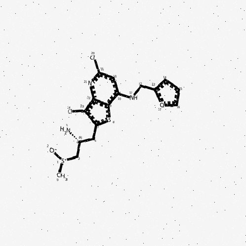 C[S+]([O-])C[C@H](N)Cc1sc2c(NCc3ccco3)cc(Cl)nc2c1Cl